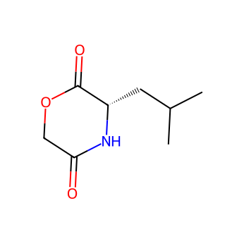 CC(C)C[C@@H]1NC(=O)COC1=O